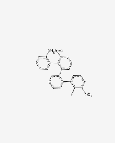 COc1cccc(-c2ccccc2-c2cccc([N+](=O)[O-])c2F)c1-c1ccccc1N